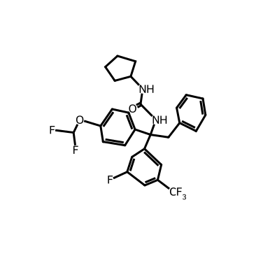 O=C(NC1CCCC1)NC(Cc1ccccc1)(c1ccc(OC(F)F)cc1)c1cc(F)cc(C(F)(F)F)c1